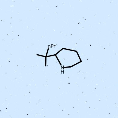 CCCC(C)(C)C1CCCCN1